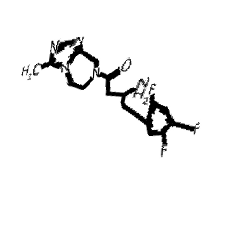 Cc1nnc2n1CCN(C(=O)CC(N)Cc1cc(F)c(F)cc1F)C2